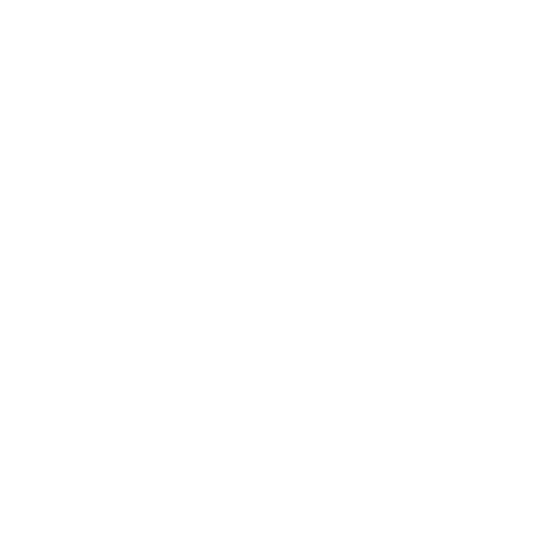 Cc1ccc2cc3ccccc3c(-c3ccc4ccccc4c3)c2c1